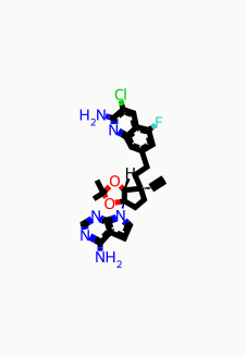 C#C[C@]1(CCc2cc(F)c3cc(Cl)c(N)nc3c2)CC[C@@]2(n3ccc4c(N)ncnc43)OC(C)(C)O[C@H]12